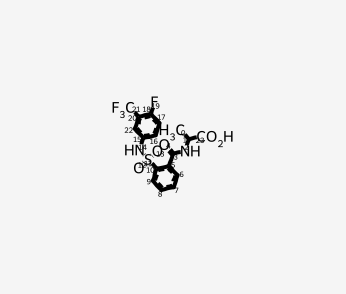 CC(NC(=O)c1ccccc1S(=O)(=O)Nc1ccc(F)c(C(F)(F)F)c1)C(=O)O